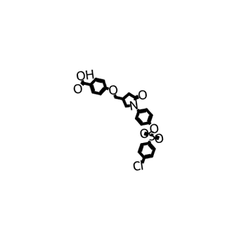 O=C(O)c1ccc(OCC2CC(=O)N(c3ccc(OS(=O)(=O)c4ccc(Cl)cc4)cc3)C2)cc1